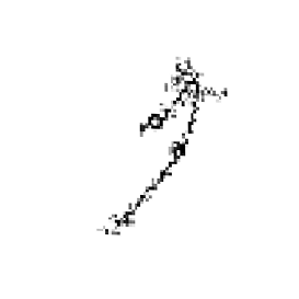 CC(C)(C)OC(=O)NCCOCCOCCOCCOCCn1cc(COCCCCCCO[C@]2(C(=O)O)C[C@H](O)[C@@H](NC(=O)CO)[C@H]([C@H](O)[C@H](O)CNC(=O)Cc3ccc(C(F)F)cc3)O2)nn1